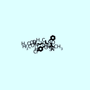 CCC(c1nc2snc(C)c2c(=O)n1Cc1ccccc1)N(CCCNC(=O)OC(C)(C)C)C(=O)c1ccc(Cl)cc1